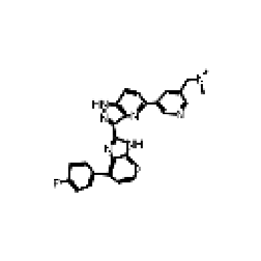 CN(C)Cc1cncc(-c2ccc3[nH]nc(-c4nc5c(-c6ccc(F)cc6)ccnc5[nH]4)c3n2)c1